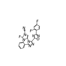 N#CN1C=C2N(c3ccccc3-c3nnc(-c4nc(-c5ccc(F)cc5F)no4)n32)C1F